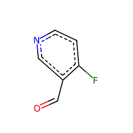 O=Cc1cnccc1F